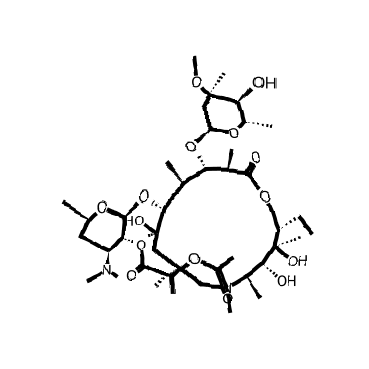 CC[C@H]1OC(=O)[C@H](C)[C@@H](O[C@H]2C[C@@](C)(OC)[C@@H](O)[C@H](C)O2)[C@H](C)[C@@H](O[C@@H]2O[C@H](C)C[C@H](N(C)C)[C@H]2OC(=O)C(C)OC(C)=O)[C@](C)(O)C[C@@H](C)CN(C)[C@H](C)[C@@H](O)[C@]1(C)O